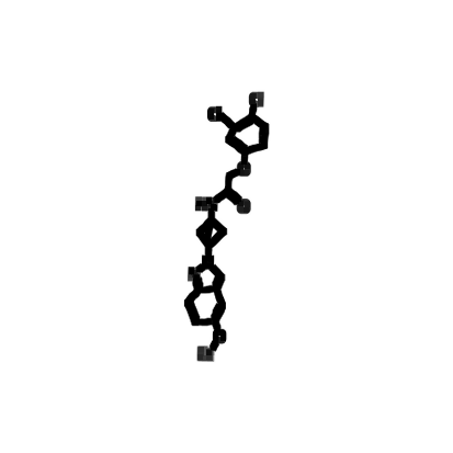 CCOc1ccc2nn(C34CC(NC(=O)COc5ccc(Cl)c(Cl)c5)(C3)C4)cc2c1